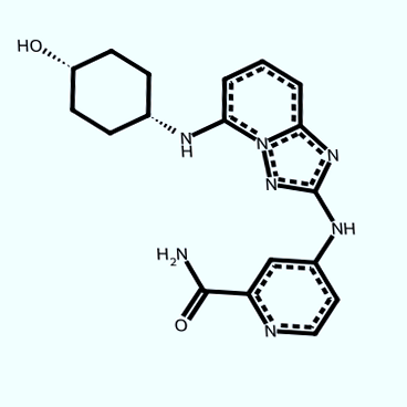 NC(=O)c1cc(Nc2nc3cccc(N[C@H]4CC[C@@H](O)CC4)n3n2)ccn1